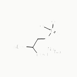 CCCCCCCCCCC(CCCCCCCC)COP(=O)([O-])[O-].[Na+].[Na+]